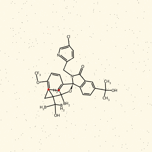 BC(B)(O)C1(C(B)(B)O[C@]2(c3ccc(OC(F)(F)F)cc3)c3ccc(C(C)(C)O)cc3C(=O)N2Cc2ccc(Cl)cn2)CC1